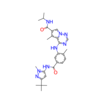 Cc1ccc(C(=O)Nc2cc(C(C)(C)C)nn2C)cc1Nc1ncnn2cc(C(=O)NC(C)C)c(C)c12